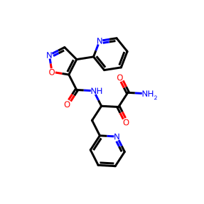 NC(=O)C(=O)C(Cc1ccccn1)NC(=O)c1oncc1-c1ccccn1